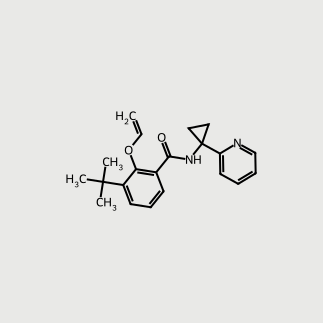 C=COc1c(C(=O)NC2(c3ccccn3)CC2)cccc1C(C)(C)C